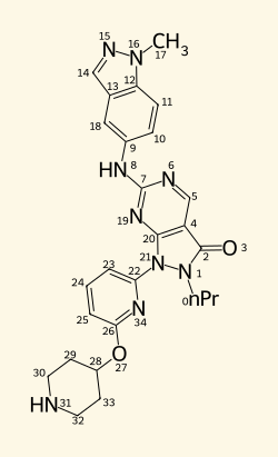 CCCn1c(=O)c2cnc(Nc3ccc4c(cnn4C)c3)nc2n1-c1cccc(OC2CCNCC2)n1